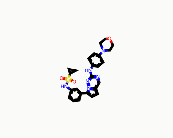 O=S(=O)(Nc1cccc(-c2ccc3cnc(Nc4ccc(N5CCOCC5)cc4)nn23)c1)C1CC1